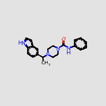 CC(c1ccc2[nH]ccc2c1)N1CCN(C(=O)Nc2ccccc2)CC1